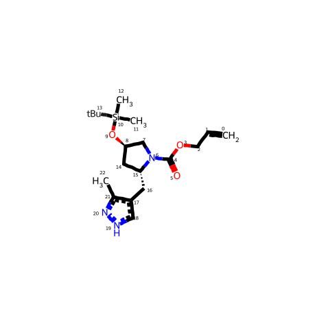 C=CCOC(=O)N1C[C@H](O[Si](C)(C)C(C)(C)C)C[C@H]1Cc1c[nH]nc1C